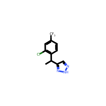 CC(c1cn[nH]n1)c1ccc(C(F)(F)F)cc1Cl